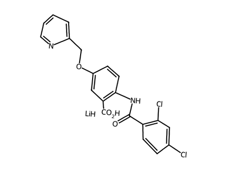 O=C(Nc1ccc(OCc2ccccn2)cc1C(=O)O)c1ccc(Cl)cc1Cl.[LiH]